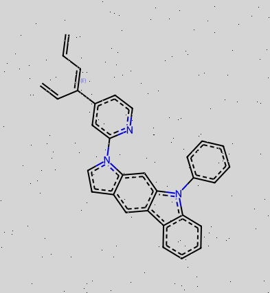 C=C/C=C(\C=C)c1ccnc(-n2ccc3cc4c5ccccc5n(-c5ccccc5)c4cc32)c1